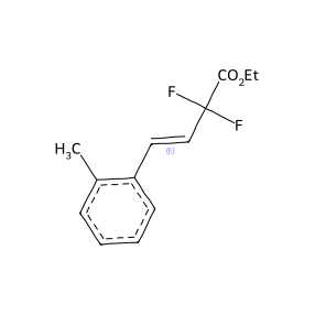 CCOC(=O)C(F)(F)/C=C/c1ccccc1C